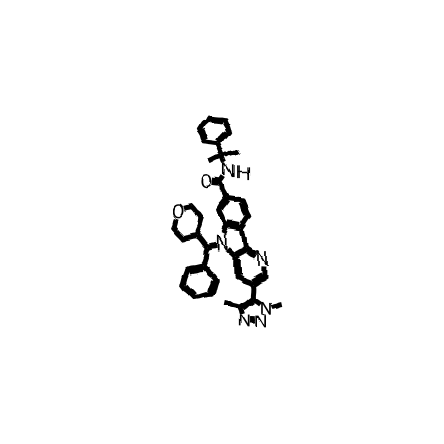 Cc1nnn(C)c1-c1cnc2c3ccc(C(=O)NC(C)(C)c4ccccc4)cc3n(C(c3ccccc3)C3CCOCC3)c2c1